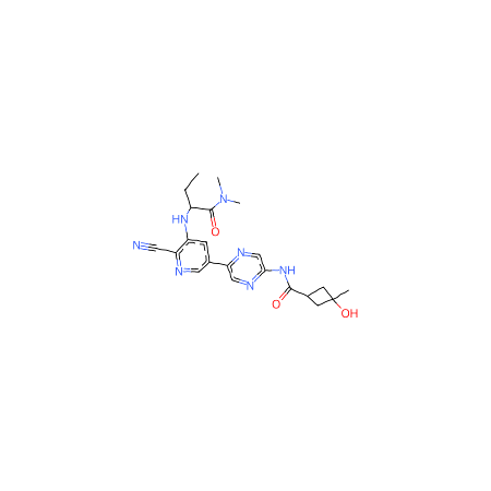 CCC(Nc1cc(-c2cnc(NC(=O)C3CC(C)(O)C3)cn2)cnc1C#N)C(=O)N(C)C